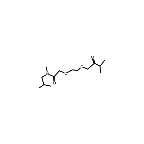 CC(C)CN(C)C(=O)COCCOCC(=O)C(C)C